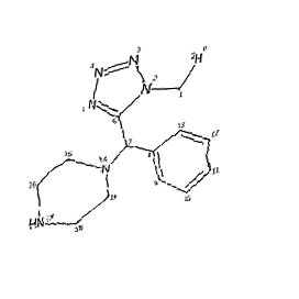 [2H]Cn1nnnc1C(c1ccccc1)N1CCNCC1